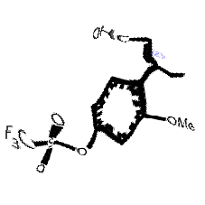 COc1cc(OS(=O)(=O)C(F)(F)F)ccc1/C(C)=C\C=O